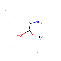 NCC(=O)O.[Co]